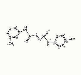 Cc1cccc(NC(=O)C=CC(=O)Nc2ccc(F)cc2)c1